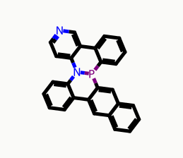 c1ccc2c(c1)-c1cc3ccccc3cc1P1c3ccccc3-c3cnccc3N21